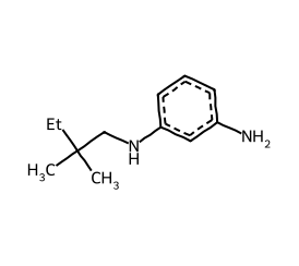 CCC(C)(C)CNc1cccc(N)c1